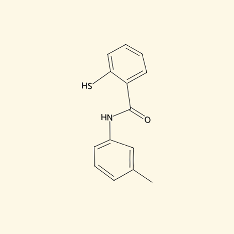 Cc1cccc(NC(=O)c2ccccc2S)c1